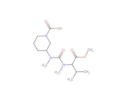 COC(=O)C(C(C)C)N(C)C(=O)N(C)C1CCCN(C(=O)O)C1